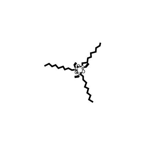 C=C[Si]1(CCCCCCCCC)O[Si](C=C)(CCCCCCCCC)O[Si](C=C)(CCCCCCCCC)O1